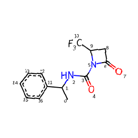 CC(NC(=O)N1C(=O)CC1C(F)(F)F)c1ccccc1